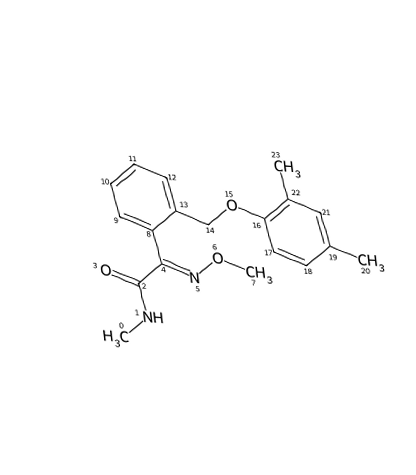 CNC(=O)/C(=N/OC)c1ccccc1COc1ccc(C)cc1C